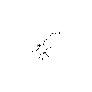 Cc1nc(CCCO)c(C)c(C)c1O